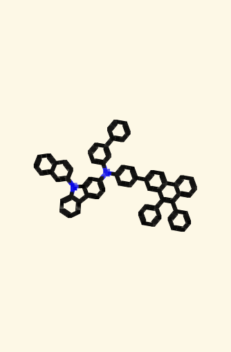 c1ccc(-c2cccc(N(c3ccc(-c4ccc5c(c4)c(-c4ccccc4)c(-c4ccccc4)c4ccccc45)cc3)c3ccc4c5ccccc5n(-c5ccc6ccccc6c5)c4c3)c2)cc1